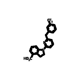 O=C(O)c1cccc2c1CCN2c1cccc(Cc2cccc(C(F)(F)F)c2)n1